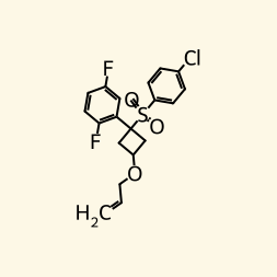 C=CCOC1CC(c2cc(F)ccc2F)(S(=O)(=O)c2ccc(Cl)cc2)C1